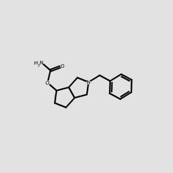 NC(=O)OC1CCC2CN(Cc3ccccc3)CC21